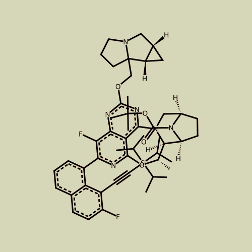 CC(C)[Si](C#Cc1c(F)ccc2cccc(-c3nc4c5c(nc(OCC67CCCN6C[C@@H]6C[C@@H]67)nc5c3F)N3C[C@H]5CC[C@@H]([C@H]3[C@H](C)O4)N5C(=O)OC(C)(C)C)c12)(C(C)C)C(C)C